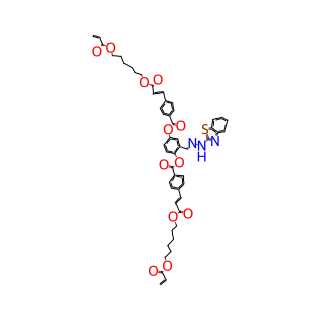 C=CC(=O)OCCCCCCOC(=O)/C=C/c1ccc(C(=O)Oc2ccc(OC(=O)c3ccc(/C=C/C(=O)OCCCCCCOC(=O)C=C)cc3)c(/C=N/Nc3nc4ccccc4s3)c2)cc1